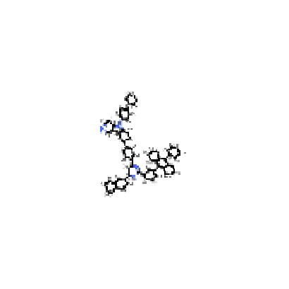 c1ccc(-c2ccc(-n3c4ccncc4c4cc(-c5ccc(-c6cc(-c7ccc8ccccc8c7)nc(-c7cccc(-c8c9ccccc9c(-c9ccccc9)c9ccccc89)c7)n6)cc5)ccc43)cc2)cc1